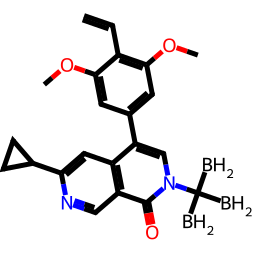 BC(B)(B)n1cc(-c2cc(OC)c(C=C)c(OC)c2)c2cc(C3CC3)ncc2c1=O